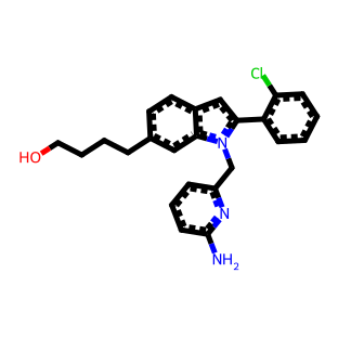 Nc1cccc(Cn2c(-c3ccccc3Cl)cc3ccc(CCCCO)cc32)n1